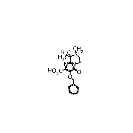 C=S1CCn2c(nc(C(=O)O)c(OCc3ccccc3)c2=O)C1(C)C